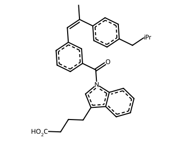 CC(=Cc1cccc(C(=O)n2cc(CCCC(=O)O)c3ccccc32)c1)c1ccc(CC(C)C)cc1